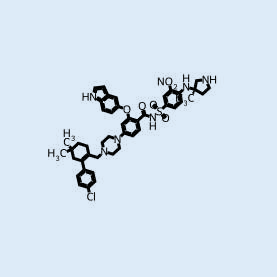 CC1(C)CCC(CN2CCN(c3ccc(C(=O)NS(=O)(=O)c4ccc(N[C@@]5(C)CCNC5)c([N+](=O)[O-])c4)c(Oc4ccc5[nH]ccc5c4)c3)CC2)=C(c2ccc(Cl)cc2)C1